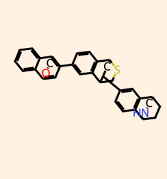 c1ccc2c3c(-c4ccc5c(c4)C4CSC5CC4c4ccc5c(c4)C4CCC5NC4)cc(c2c1)OC3